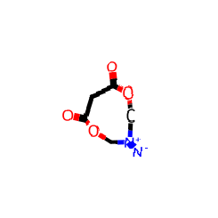 [N-]=[N+]1COC(=O)CC(=O)OC1